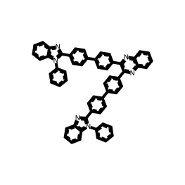 c1ccc(-n2c(-c3ccc(-c4ccc(-c5nc6ccccc6nc5-c5ccc(-c6ccc(-c7nc8ccccc8n7-c7ccccc7)cc6)cc5)cc4)cc3)nc3ccccc32)cc1